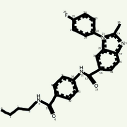 CCCCNC(=O)c1ccc(NC(=O)c2ccc3nc(C)n(-c4ccc(F)cc4)c3c2)cc1